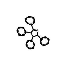 c1ccc(C2=PC(c3ccccc3)C(c3ccccc3)C2c2ccccc2)cc1